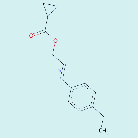 CCc1ccc(/C=C/COC(=O)C2CC2)cc1